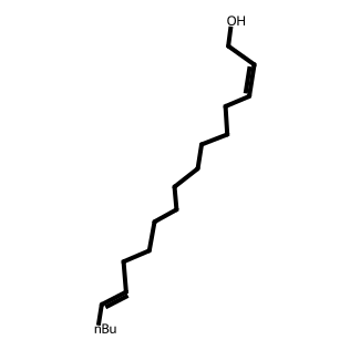 CCCC/C=C/CCCCCCCCC/C=C\CO